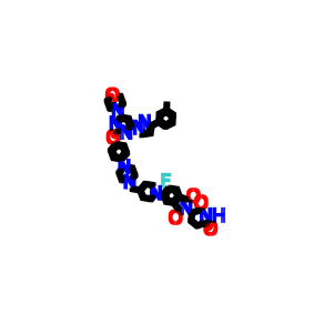 Cc1cccc(-c2ccn(-c3cc(N4CCOCC4)nc(Oc4ccc(N5CCN(CC6CCN(c7cc8c(cc7F)C(=O)N(C7CCC(=O)NC7=O)C8=O)CC6)CC5)cc4)n3)n2)c1